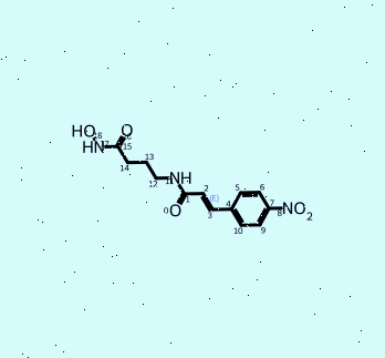 O=C(/C=C/c1ccc([N+](=O)[O-])cc1)NCCCC(=O)NO